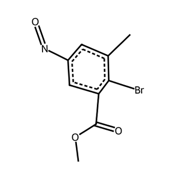 COC(=O)c1cc(N=O)cc(C)c1Br